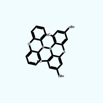 CCCCc1cc(C#N)c2c(c1)Sc1cc(CCCC)cc(C#N)c1N2B1c2ccccc2Oc2ccccc21